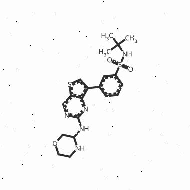 CC(C)(C)NS(=O)(=O)c1cccc(-c2csc3cnc(NC4COCCN4)nc23)c1